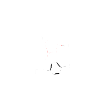 CC(C)OOB(OOC(C)C)Oc1cc(C(F)(F)F)ccc1C(F)(F)F